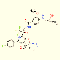 COc1cc(C(=O)NC[C@](O)(c2cc3c(c(-c4ccc(F)cc4)n2)OC[C@]3(C)C(N)=O)C(F)(F)F)ccc1NC[C@@H](C)O